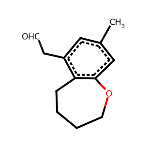 Cc1cc(CC=O)c2c(c1)OCCCC2